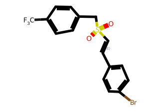 O=S(=O)(/C=C/c1ccc(Br)cc1)Cc1ccc(C(F)(F)F)cc1